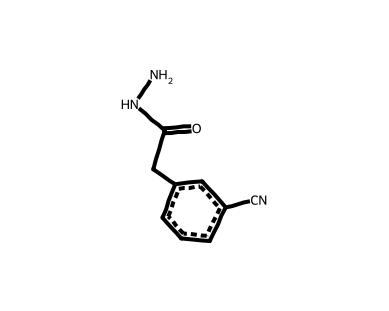 N#Cc1cccc(CC(=O)NN)c1